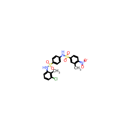 Cc1cc(S(=O)(=O)Nc2ccc(S(=O)(=O)Nc3cccc(Cl)c3C)cc2)ccc1[N+](=O)[O-]